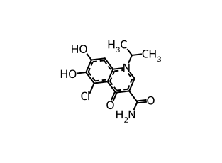 CC(C)n1cc(C(N)=O)c(=O)c2c(Cl)c(O)c(O)cc21